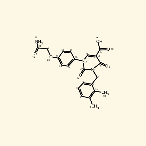 Cc1cccc(Cn2c(=O)c(C(=O)O)cn(-c3ccc(OCC(N)=O)cc3)c2=O)c1C